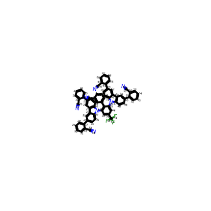 N#Cc1cccc(-c2c(-n3c4ccc(-c5ccccc5C#N)cc4c4cc(-c5ccccc5C#N)ccc43)cc(C(F)(F)F)cc2-n2c3ccc(-c4ccccc4C#N)cc3c3cc(-c4ccccc4C#N)ccc32)c1